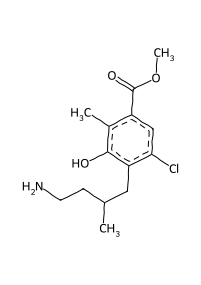 COC(=O)c1cc(Cl)c(CC(C)CCN)c(O)c1C